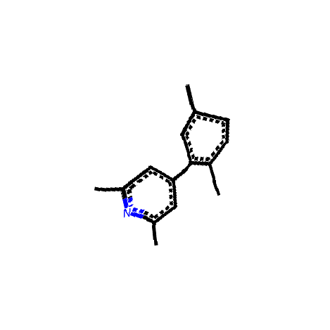 Cc1ccc(C)c(-c2cc(C)nc(C)c2)c1